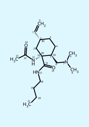 C=C[C@@H]1CC[C@@H](CN(C)C)[C@@](NC(C)=O)(C(=O)NCCCC)C1